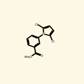 COC(=O)c1cccc(-n2c(Cl)ccc2Cl)c1